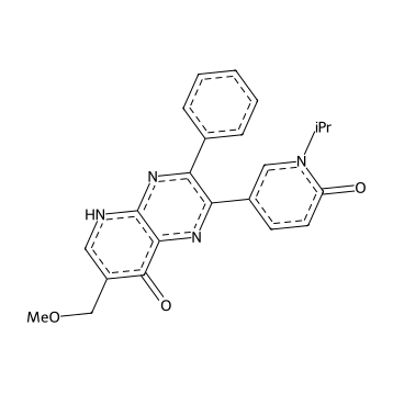 COCc1c[nH]c2nc(-c3ccccc3)c(-c3ccc(=O)n(C(C)C)c3)nc2c1=O